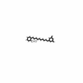 CC1CC(C)CC(CCCCCCCCCCC2CCCCC2C=O)C1